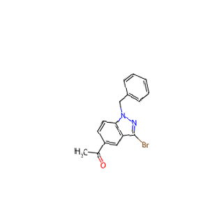 CC(=O)c1ccc2c(c1)c(Br)nn2Cc1ccccc1